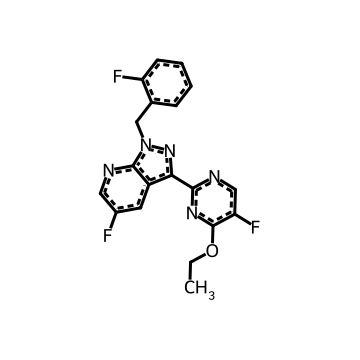 CCOc1nc(-c2nn(Cc3ccccc3F)c3ncc(F)cc23)ncc1F